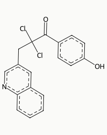 O=C(c1ccc(O)cc1)C(Cl)(Cl)Cc1cnc2ccccc2c1